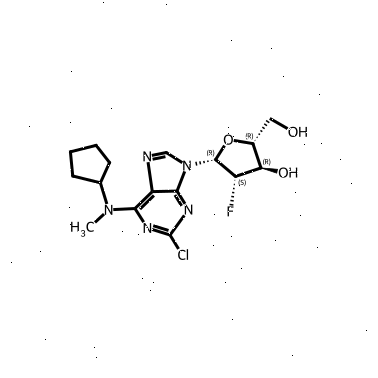 CN(c1nc(Cl)nc2c1ncn2[C@@H]1O[C@H](CO)[C@@H](O)[C@@H]1F)C1CCCC1